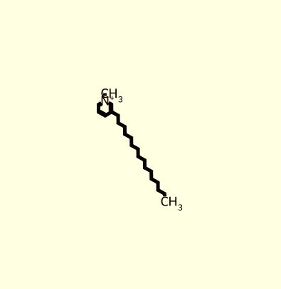 CCCCCCCCCCCCCCCCc1ccc[n+](C)c1